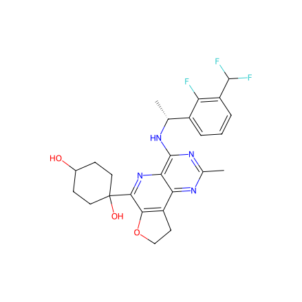 Cc1nc(N[C@H](C)c2cccc(C(F)F)c2F)c2nc(C3(O)CCC(O)CC3)c3c(c2n1)CCO3